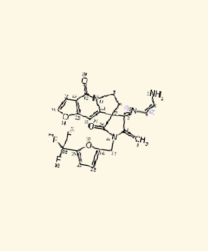 C=C1/C(=N\C=C/N)C2(CCn3c2cc2occc2c3=O)C(=O)N1Cc1ccc(C(F)(F)F)o1